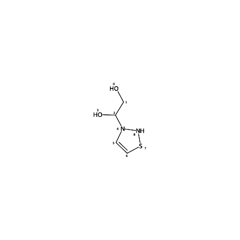 OCC(O)N1C=CSN1